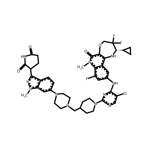 Cn1nc(C2CCC(=O)NC2=O)c2ccc(N3CCN(CC4CCN(c5ncc(Cl)c(Nc6cc(F)c7c(c6)c6c(c(=O)n7C)OCC(F)(F)[C@H](C7CC7)N6)n5)CC4)CC3)cc21